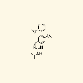 COc1ccccc1-c1cc2cnc(NC(C)C)nc2cc1OC